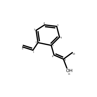 C=Cc1ccccc1/C=C(\C)O